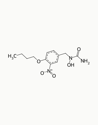 CCCCOc1ccc(CN(O)C(N)=O)cc1[N+](=O)[O-]